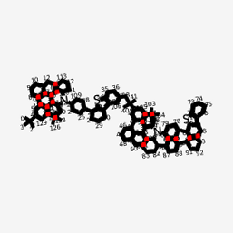 CC(C)(C)c1cc(-c2cccc3cccc(-c4ccccc4N(c4ccc(-c5cccc6c5sc5ccc(CC(C)(C)c7cc(-c8cccc9cccc(-c%10ccccc%10N(c%10ccc(-c%11cccc%12c%11sc%11ccccc%11%12)cc%10)C%10C=CC=CC%10c%10ccc(-c%11ccccc%11)cc%10)c89)cc(C(C)(C)C)c7)cc56)cc4)c4ccccc4-c4ccccc4)c23)cc(C(C)(C)C)c1